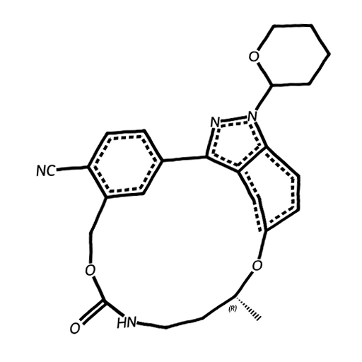 C[C@@H]1CCNC(=O)OCc2cc(ccc2C#N)-c2nn(C3CCCCO3)c3ccc(cc23)O1